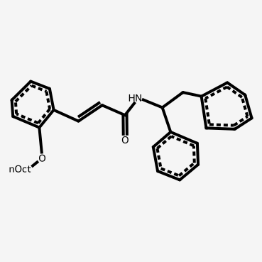 CCCCCCCCOc1ccccc1C=CC(=O)NC(Cc1ccccc1)c1ccccc1